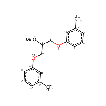 COC(COc1cccc(C(F)(F)F)c1)COc1cccc(C(F)(F)F)c1